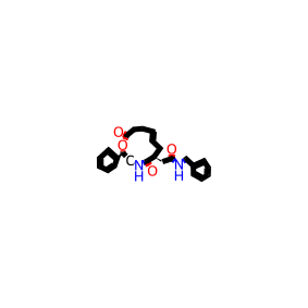 O=C(C[C@H]1C/C=C/CCC(=O)O[C@H](c2ccccc2)CNC1=O)NCc1ccccc1